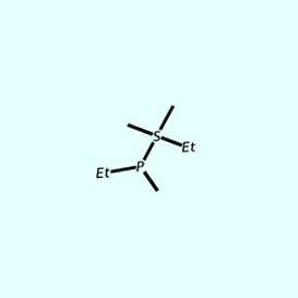 CCP(C)S(C)(C)CC